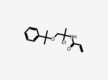 C=CC(=O)NC(C)(CC)COC(C)(C)c1ccccc1